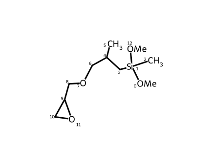 CO[Si](C)(CC(C)COCC1CO1)OC